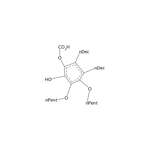 CCCCCCCCCCc1c(CCCCCCCCCC)c(OCCCCC)c(OCCCCC)c(O)c1OC(=O)O